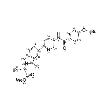 CCCCOc1ccc(C(=O)Nc2ccc(-c3ccc4c(c3)C(=O)N(C(C(=O)OC)C(C)C)C4)nc2)cc1